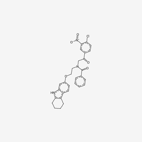 O=C(CN(CCOc1ccc2c3c([nH]c2c1)CCCC3)C(=O)c1ccccc1)c1ccc(Cl)c([N+](=O)[O-])c1